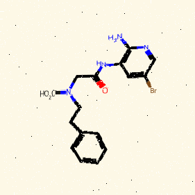 Nc1ncc(Br)cc1NC(=O)CN(CCc1ccccc1)C(=O)O